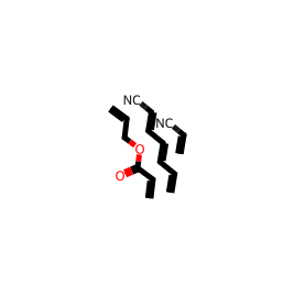 C=CC#N.C=CC=CC=CC#N.C=CCOC(=O)C=C